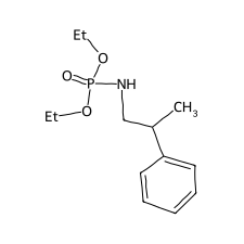 CCOP(=O)(NCC(C)c1ccccc1)OCC